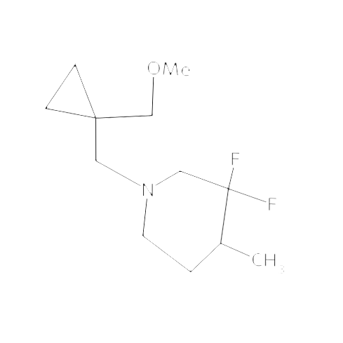 COCC1(CN2CCC(C)C(F)(F)C2)CC1